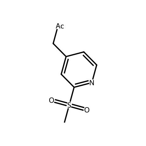 CC(=O)Cc1ccnc(S(C)(=O)=O)c1